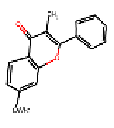 COc1ccc2c(=O)c(C)c(-c3ccccc3)oc2c1